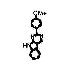 COc1ccc(-c2ncc3c(n2)[nH]c2ccccc23)cc1